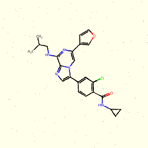 CC(C)CNc1nc(-c2ccoc2)cn2c(-c3ccc(C(=O)NC4CC4)c(Cl)c3)cnc12